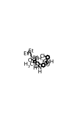 CCN(CC)CCNC(=O)c1c(C)[nH]c(/C=C2\C(=O)Nc3ccc(S(=O)(=O)Nc4cccc(Cl)c4)cc32)c1C